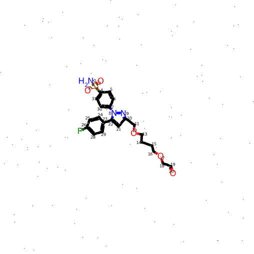 NS(=O)(=O)c1ccc(-n2nc(COCCCCOCC=O)cc2-c2ccc(F)cc2)cc1